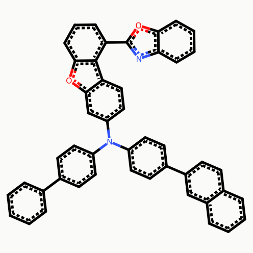 c1ccc(-c2ccc(N(c3ccc(-c4ccc5ccccc5c4)cc3)c3ccc4c(c3)oc3cccc(-c5nc6ccccc6o5)c34)cc2)cc1